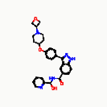 O=C(N[C@@H](O)c1ccccn1)c1ccc2[nH]nc(-c3ccc(OC4CCN(C5COC5)CC4)cc3)c2c1